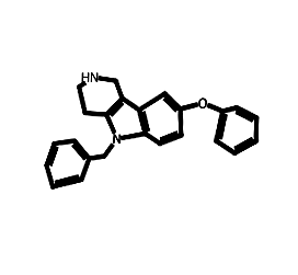 c1ccc(Cn2c3c(c4cc(Oc5ccccc5)ccc42)CNCC3)cc1